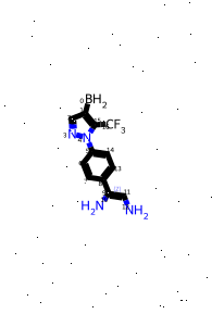 Bc1cnn(-c2ccc(/C(N)=C/N)cc2)c1C(F)(F)F